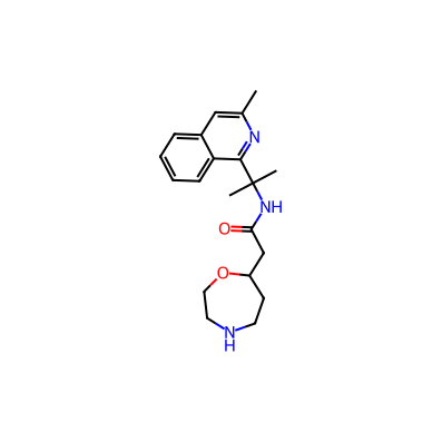 Cc1cc2ccccc2c(C(C)(C)NC(=O)CC2CCNCCO2)n1